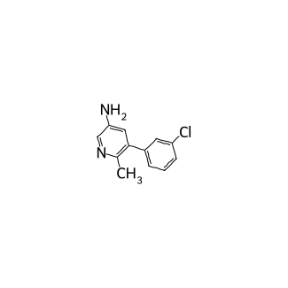 Cc1ncc(N)cc1-c1cccc(Cl)c1